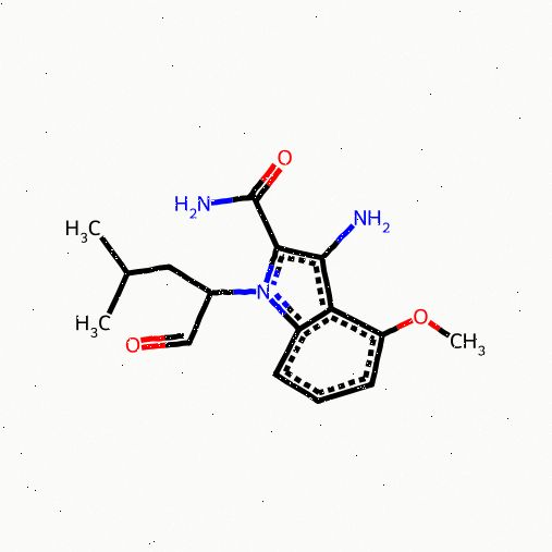 COc1cccc2c1c(N)c(C(N)=O)n2C(C=O)CC(C)C